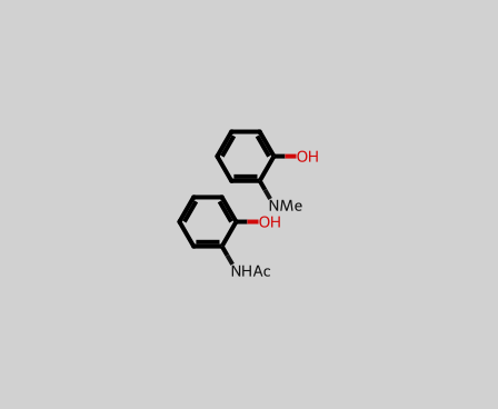 CC(=O)Nc1ccccc1O.CNc1ccccc1O